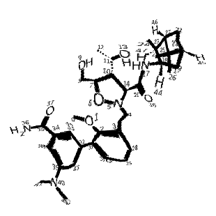 COc1c(CN2O[C@@H](CO)[C@H]([C@H](C)O)[C@H]2C(=O)N[C@H]2C[C@H]3C[C@@H]([C@@H]2C)C3(C)C)cccc1-c1cc(C(N)=O)cc(N(C)C)c1